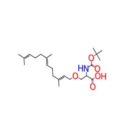 CC(C)=CCCC(C)=CCCC(C)=CCOCC(NC(=O)OC(C)(C)C)C(=O)O